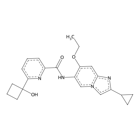 CCOc1cc2nc(C3CC3)cn2cc1NC(=O)c1cccc(C2(O)CCC2)n1